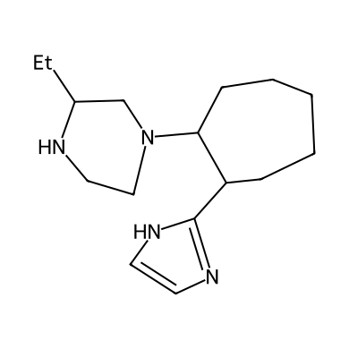 CCC1CN(C2CCCCCC2c2ncc[nH]2)CCN1